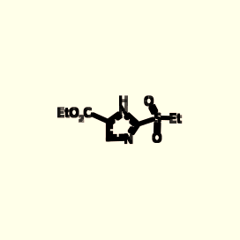 CCOC(=O)c1cnc(S(=O)(=O)CC)[nH]1